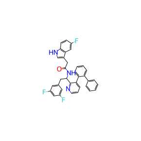 O=C(Cc1c[nH]c2ccc(F)cc12)NC(Cc1cc(F)cc(F)c1)c1ncccc1-c1ccccc1-c1ccccc1